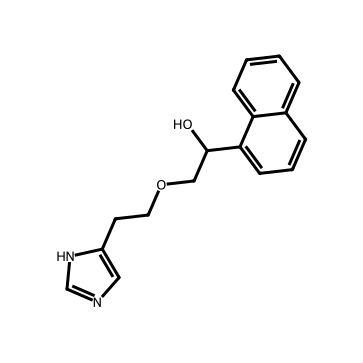 OC(COCCc1cnc[nH]1)c1cccc2ccccc12